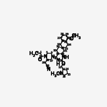 C=CC(=O)N1CCN(C2NC(OCC3CCCN3C)NC3CC4(CCc5c(cccc5OC)C4)CCC32)CC1CC#N